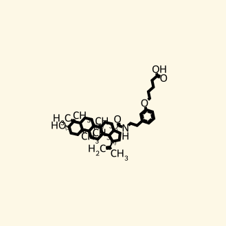 C=C(C)[C@@H]1CC[C@]2(C(=O)NCCc3cccc(OCCCCC(=O)O)c3)CC[C@]3(C)C(CCC4[C@@]5(C)CC[C@H](O)C(C)(C)C5CC[C@]43C)C12